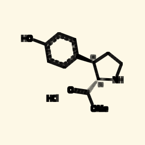 COC(=O)[C@H]1NCC[C@@H]1c1ccc(O)cc1.Cl